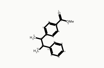 COC(=O)c1ccc(C(C)C(C)c2ccccc2)cc1